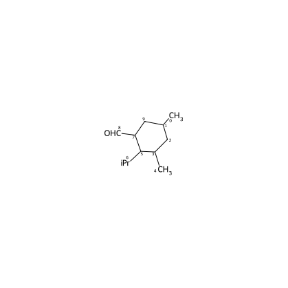 CC1CC(C)C(C(C)C)C(C=O)C1